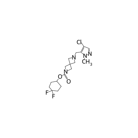 Cn1ncc(Cl)c1CN1CC2(C1)CN(C(=O)OC1CCC(F)(F)CC1)C2